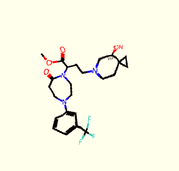 COC(=O)C(CCN1CCC2(CC2)[C@H](O)C1)N1CCN(c2cccc(C(F)(F)F)c2)CCC1=O